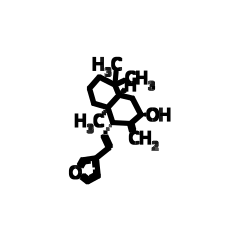 C=C1[C@@H](O)C[C@H]2C(C)(C)CCC[C@]2(C)[C@H]1/C=C/c1ccoc1